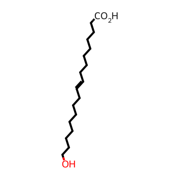 O=C(O)CCCCCCC/C=C/CCCCCCCCO